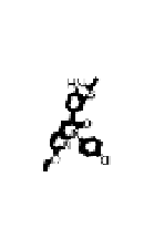 CCOc1ccc2cc(-c3ccc4c(c3)SC(C)N4)c(=O)n(-c3ccc(Cl)cc3)c2n1